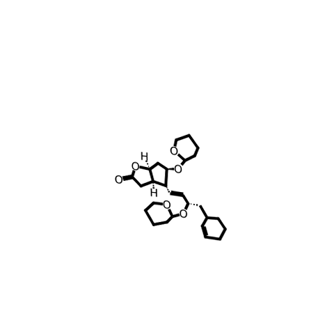 O=C1C[C@@H]2[C@@H](/C=C/[C@H](CC3C=CCCC3)OC3CCCCO3)[C@H](OC3CCCCO3)C[C@@H]2O1